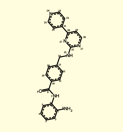 Nc1ccccc1NC(=O)c1ccc(CNc2nccc(-c3ccncc3)n2)cc1